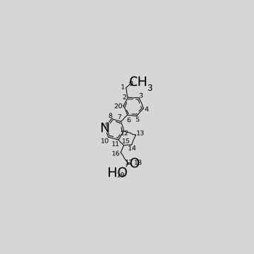 CCc1cccc(-c2cncc3c2CCC3CC(=O)O)c1